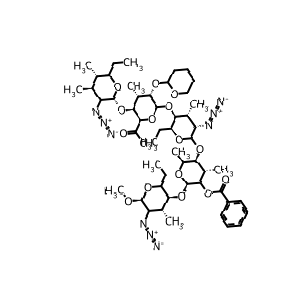 CCC1O[C@H](O[C@@H]2C(C(C)=O)OC(O[C@@H]3C(CC)OC(O[C@@H]4C(C)O[C@H](O[C@@H]5C(CC)O[C@H](OC)C(N=[N+]=[N-])[C@H]5C)C(OC(=O)c5ccccc5)[C@H]4C)[C@@H](N=[N+]=[N-])[C@H]3C)[C@@H](OC3CCCCO3)[C@H]2C)C(N=[N+]=[N-])[C@@H](C)[C@@H]1C